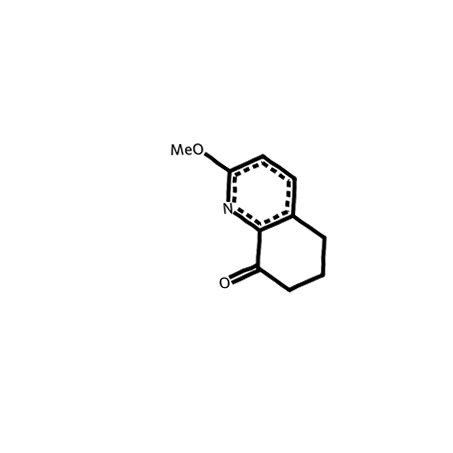 COc1ccc2c(n1)C(=O)CCC2